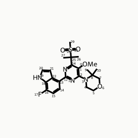 COc1c(N2CCOCC2(C)C)nc(-c2ccc(F)c3[nH]ccc23)nc1C(C)(C)S(C)(=O)=O